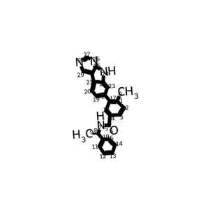 Cc1ccc(C(=O)N[C@H](C)c2ccccc2)cc1-c1ccc2c(c1)[nH]c1ncncc12